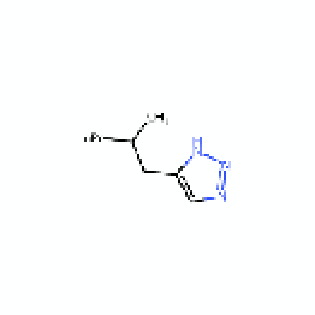 CCCC(C)Cc1cnn[nH]1